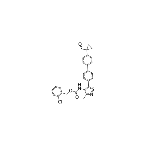 Cc1nsc(-c2ccc(-c3ccc(C4(C=O)CC4)cc3)cc2)c1NC(=O)OCc1ccccc1Cl